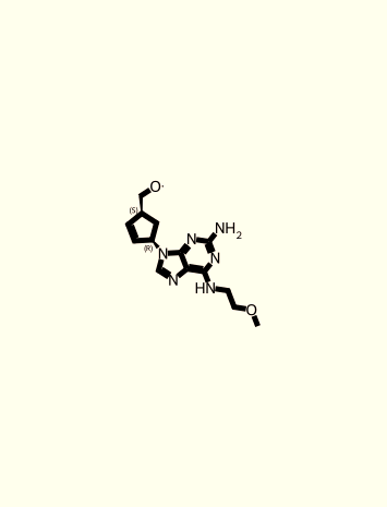 COCCNc1nc(N)nc2c1ncn2[C@H]1C=C[C@@H](C[O])C1